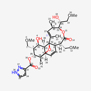 COC[C@@H]1[C@@H](O)[C@@H]2[C@H]3C=C[C@@H]4[C@@H](COC)C(=O)O[C@H]([C@H](O)COC)[C@H](C)/C=C(\C)[C@@]24O[C@H]3[C@@H]1OC(=O)c1cc[nH]n1